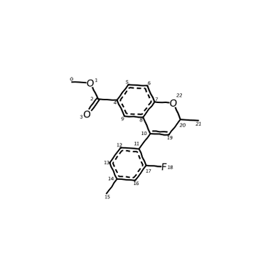 COC(=O)c1ccc2c(c1)C(c1ccc(C)cc1F)=CC(C)O2